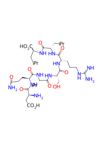 CC(C)C[C@H](NC(=O)[C@H](CC(C)C)NC(=O)[C@H](CCCNC(=N)N)NC(=O)[C@H](CO)NC(=O)[C@@H](NC(=O)[C@H](CCC(N)=O)NC(=O)[C@@H](N)CC(=O)O)C(C)C)C(=O)O